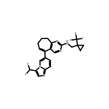 FC(F)c1cnc2ccc(C3=CCCCc4nc(NCC5(C(F)(F)F)CC5)ncc43)cn12